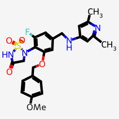 COc1ccc(COc2cc(CNc3cc(C)nc(C)c3)cc(F)c2N2CC(=O)NS2(=O)=O)cc1